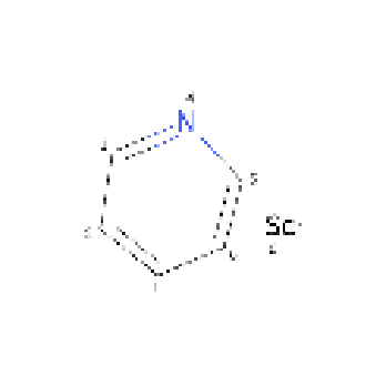 [Sc].c1ccncc1